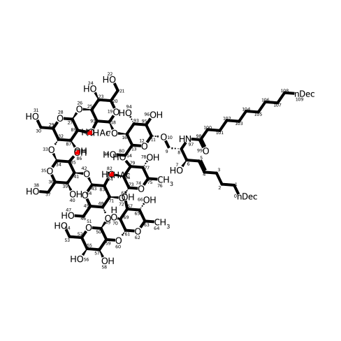 CCCCCCCCCCCCC/C=C/[C@@H](O)[C@H](CO[C@@H]1OC(CO)[C@@H](O[C@@H]2OC(CO)[C@H](O)[C@H](O[C@@H]3OC(CO)[C@@H](O[C@@H]4OC(CO)[C@H](O)[C@H](O[C@@H]5OC(CO)[C@@H](O[C@@H]6OC(CO)[C@H](O)[C@H](O)C6O[C@H]6OC(C)[C@@H](O)C(O)[C@@H]6O)[C@H](O[C@H]6OC(C)[C@@H](O)C(O)[C@@H]6O)C5NC(C)=O)C4O)[C@H](O)C3NC(C)=O)C2O)[C@H](O)C1O)NC(=O)CCCCCCCCCCCCCCCCCCC